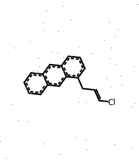 ClC=CCc1cccc2cc3ccccc3cc12